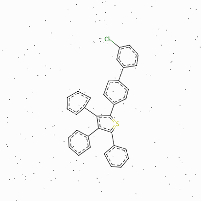 Clc1cccc(-c2ccc(-c3sc(-c4ccccc4)c(-c4ccccc4)c3-c3ccccc3)cc2)c1